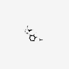 [3H]c1c(SC(F)F)cccc1-n1nnn(C)c1=O